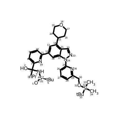 CCCC(O)(N[S@+]([O-])C(C)(C)C)c1cccc(-c2cc(C3CCOCC3)c3cnn(-c4cccc(CO[Si](C)(C)C(C)(C)C)n4)c3c2)n1